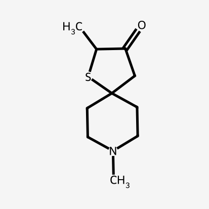 CC1SC2(CCN(C)CC2)CC1=O